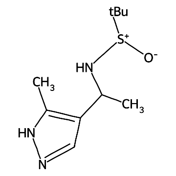 Cc1[nH]ncc1C(C)N[S+]([O-])C(C)(C)C